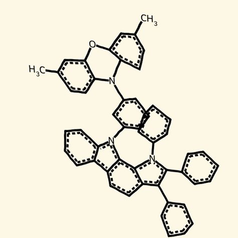 Cc1ccc2c(c1)Oc1cc(C)ccc1N2c1cccc(-n2c3ccccc3c3ccc4c(-c5ccccc5)c(-c5ccccc5)n(-c5ccccc5)c4c32)c1